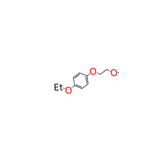 CCOc1ccc(OCC[O])cc1